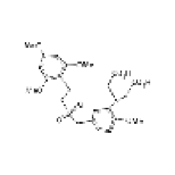 COc1cc(OC)c(CCS(=O)(=O)Cc2ccc(OC)c(N(CC(=O)O)CC(=O)O)c2)c(OC)c1